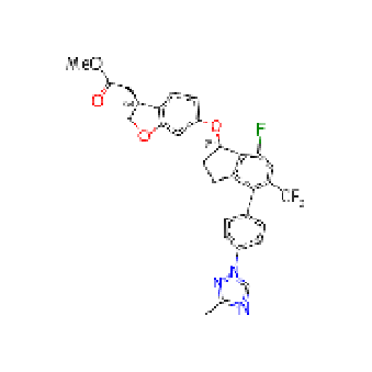 COC(=O)C[C@@H]1COc2cc(O[C@@H]3CCc4c(-c5ccc(-n6cnc(C)n6)cc5)c(C(F)(F)F)cc(F)c43)ccc21